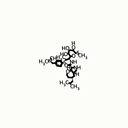 CSC1OC([C@H](NC(=O)[C@H]2NC[C@@H]3C[C@H](CC(C)C)CCO[C@H]32)[C@H](C)Sc2ccc(CN(C)C)cc2)C(O)C(O)C1O